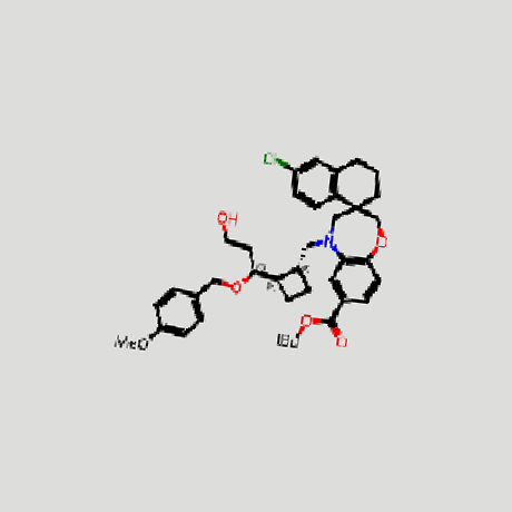 COc1ccc(CO[C@@H](CCO)[C@@H]2CC[C@H]2CN2CC3(CCCc4cc(Cl)ccc43)COc3ccc(C(=O)OC(C)(C)C)cc32)cc1